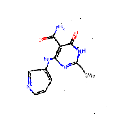 CSc1nc(Nc2cccnc2)c(C(N)=O)c(=O)[nH]1